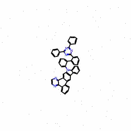 c1ccc(-c2nc(-c3ccccc3)nc(-c3ccccc3-c3ccccc3-n3c4ccccc4c4cc5c6ccccc6c6nccnc6c5cc43)n2)cc1